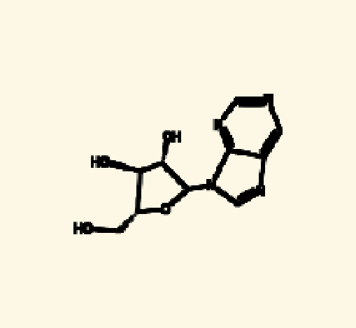 OC[C@H]1OC(n2cnc3cncnc32)[C@@H](O)[C@@H]1O